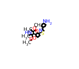 CCOC(=O)C1=C(C)NC(C)=C(C(=O)OCC)C1c1cccc(-c2nc(-c3ccc(N)cc3)cs2)c1